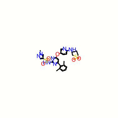 Cc1cccc(C)c1-c1cc(Oc2ccc(NC3CCS(=O)(=O)C3)nc2)nc(NS(=O)(=O)c2cnn(C)c2)n1